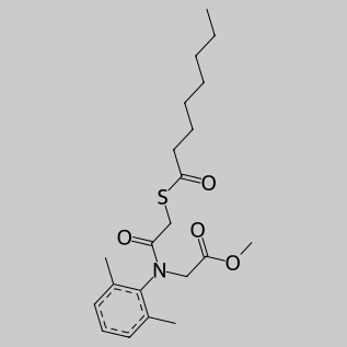 CCCCCCCC(=O)SCC(=O)N(CC(=O)OC)c1c(C)cccc1C